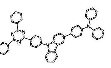 c1ccc(-c2nc(-c3ccccc3)nc(-c3ccc(-n4c5ccccc5c5cc(-c6ccc(N(c7ccccc7)c7ccccc7)cc6)ccc54)cc3)n2)cc1